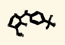 Nc1ncnc(Nc2ccc(C(F)(F)F)cc2)c1F